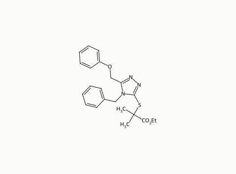 CCOC(=O)C(C)(C)Sc1nnc(COc2ccccc2)n1Cc1ccccc1